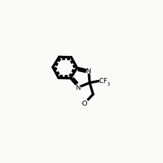 [O]CC1(C(F)(F)F)N=c2ccccc2=N1